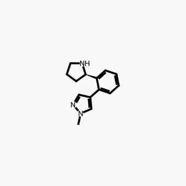 Cn1cc(-c2ccccc2[C@H]2CCCN2)cn1